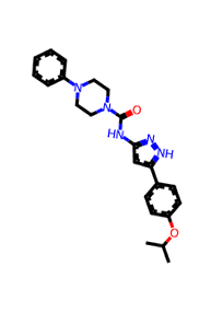 CC(C)Oc1ccc(-c2cc(NC(=O)N3CCN(c4ccccc4)CC3)n[nH]2)cc1